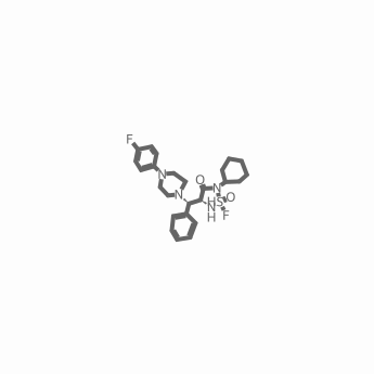 O=C1[C@@H]([C@H](c2ccccc2)N2CCN(c3ccc(F)cc3)CC2)N[SH](=O)(F)N1C1CCCCC1